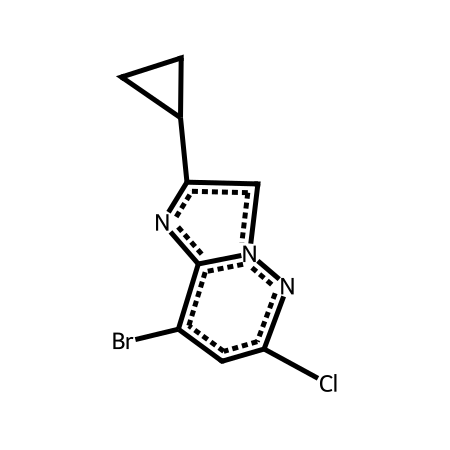 Clc1cc(Br)c2nc(C3CC3)cn2n1